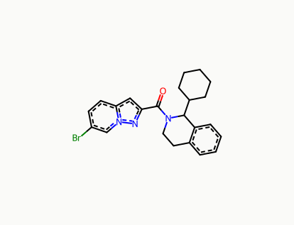 O=C(c1cc2ccc(Br)cn2n1)N1CCc2ccccc2C1C1CCCCC1